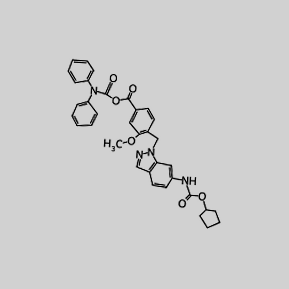 COc1cc(C(=O)OC(=O)N(c2ccccc2)c2ccccc2)ccc1Cn1ncc2ccc(NC(=O)OC3CCCC3)cc21